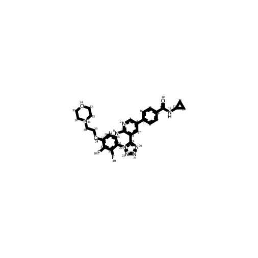 Nc1ncc(-c2ccc(C(=O)NC3CC3)cc2)cc1-c1nnnn1-c1ccc(OCCN2CCOCC2)c(F)c1F